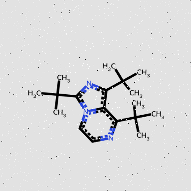 CC(C)(C)c1nccn2c(C(C)(C)C)nc(C(C)(C)C)c12